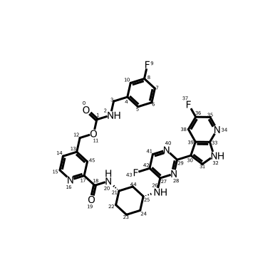 O=C(NCc1cccc(F)c1)OCc1ccnc(C(=O)N[C@H]2CCC[C@@H](Nc3nc(-c4c[nH]c5ncc(F)cc45)ncc3F)C2)c1